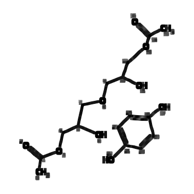 CC(=O)OCC(O)COCC(O)COC(C)=O.Oc1ccc(O)cc1